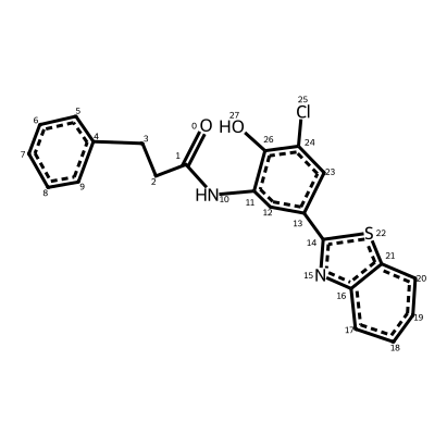 O=C(CCc1ccccc1)Nc1cc(-c2nc3ccccc3s2)cc(Cl)c1O